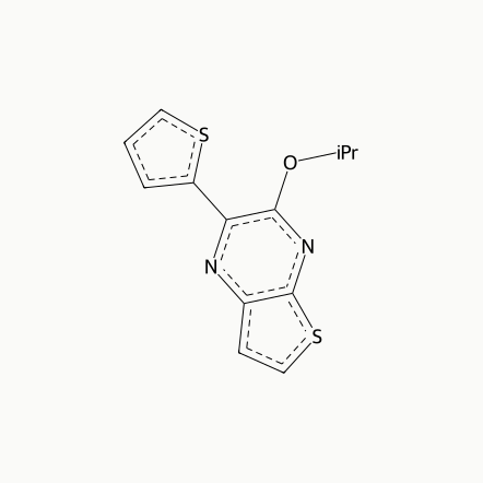 CC(C)Oc1nc2sccc2nc1-c1cccs1